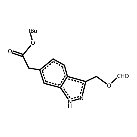 CC(C)(C)OC(=O)Cc1ccc2c(COC=O)n[nH]c2c1